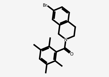 Cc1cc(C)c(C)c(C(=O)N2CCc3ccc(Br)cc3C2)c1C